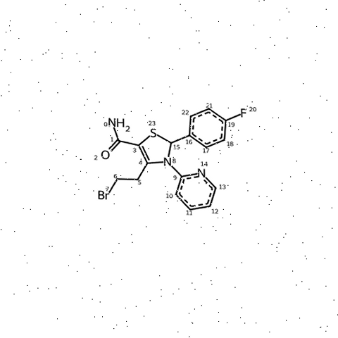 NC(=O)C1=C(CCBr)N(c2ccccn2)C(c2ccc(F)cc2)S1